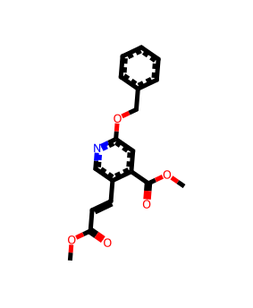 COC(=O)C=Cc1cnc(OCc2ccccc2)cc1C(=O)OC